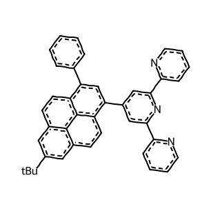 CC(C)(C)c1cc2ccc3c(-c4ccccc4)cc(-c4cc(-c5ccccn5)nc(-c5ccccn5)c4)c4ccc(c1)c2c34